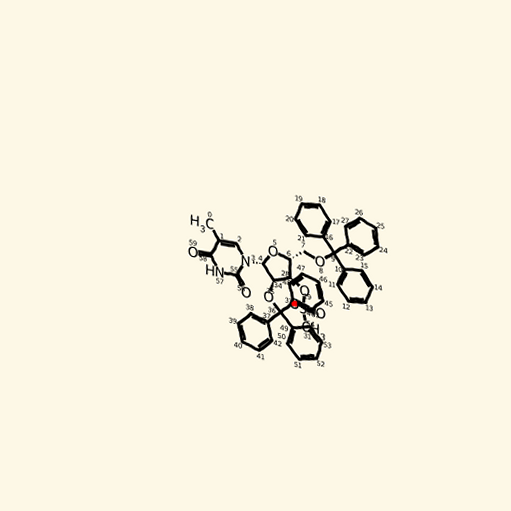 Cc1cn([C@@H]2O[C@H](COC(c3ccccc3)(c3ccccc3)c3ccccc3)[C@@H](OS(C)(=O)=O)[C@H]2OC(c2ccccc2)(c2ccccc2)c2ccccc2)c(=O)[nH]c1=O